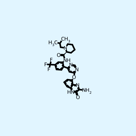 CC(C)CN1CCCC[C@H]1C(=O)Nc1cc(C(F)(F)F)ccc1-c1cc(Oc2cccc3[nH]c(=O)c(N)nc23)ncn1